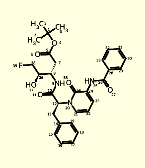 CC(C)(C)OC(=O)C[C@H](NC(=O)[C@H](Cc1ccccc1)n1cccc(NC(=O)c2ccccc2)c1=O)[C@@H](O)CF